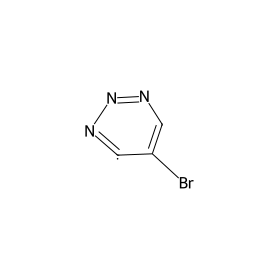 Brc1[c]nnnc1